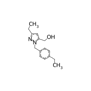 CCc1ccc(Cn2nc(CC)cc2CO)cc1